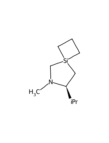 CC(C)[C@@H]1C[Si]2(CCC2)CN1C